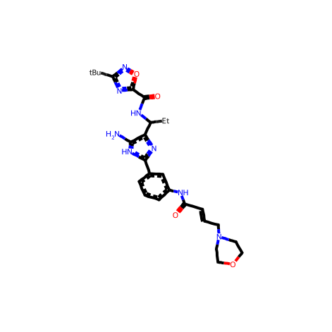 CCC(NC(=O)c1nc(C(C)(C)C)no1)c1nc(-c2cccc(NC(=O)/C=C/CN3CCOCC3)c2)[nH]c1N